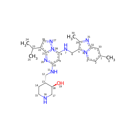 Cc1ccn2c(CNc3cc(NC[C@H]4CCNC[C@@H]4O)nc4c(C(C)C)cnn34)c(C)nc2c1